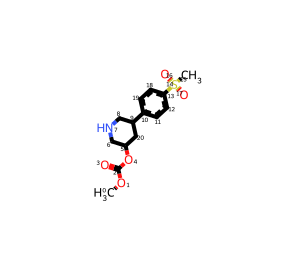 COC(=O)OC1CNCC(c2ccc(S(C)(=O)=O)cc2)C1